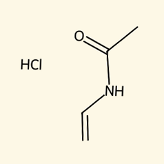 C=CNC(C)=O.Cl